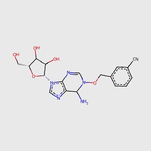 N#Cc1cccc(CON2C=Nc3c(ncn3[C@@H]3O[C@H](CO)C(O)C3O)C2N)c1